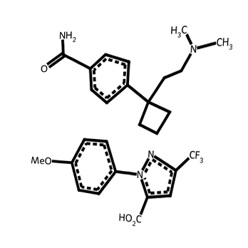 CN(C)CCC1(c2ccc(C(N)=O)cc2)CCC1.COc1ccc(-n2nc(C(F)(F)F)cc2C(=O)O)cc1